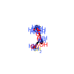 C[C@]12CNCCNC[C@](NC(=O)CCCC(=O)NC(Cc3ccc(O)cc3)C(=O)NCCCCCC(=O)N[C@@H](CS)C(N)=O)(CNCCNC1)NCCN2